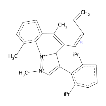 C=C/C=C\C1=C(C)c2cccc(C)c2[N+]2=[N+](C)C=C(c3c(C(C)C)cccc3C(C)C)C12